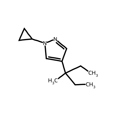 CCC(C)(CC)c1cnn(C2CC2)c1